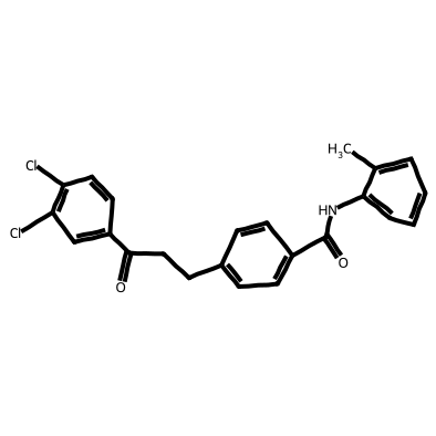 Cc1ccccc1NC(=O)c1ccc(CCC(=O)c2ccc(Cl)c(Cl)c2)cc1